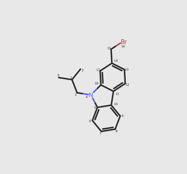 C[C](C)Cn1c2ccccc2c2ccc(CBr)cc21